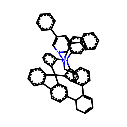 C1=CCC(c2ccc3c(c2)C2(c4ccccc4-3)c3ccccc3N(c3ccccc3)c3ccccc32)C(c2cccc(CN3C4C(c5ccccc5)=CC(c5ccccc5)=CN43)c2)=C1